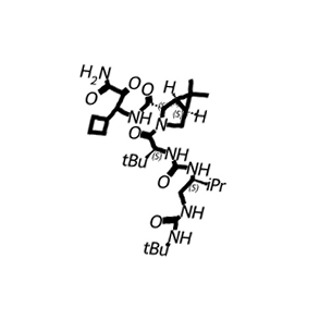 CC(C)[C@@H](CNC(=O)NC(C)(C)C)NC(=O)N[C@H](C(=O)N1C[C@H]2[C@@H]([C@H]1C(=O)NC(C(=O)C(N)=O)C1CCC1)C2(C)C)C(C)(C)C